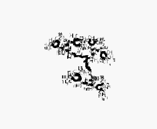 CCCCN(c1nc(NCCCCCC(CCCCNNc2nc(N(CCCC)C3CC(C)(C)NC(C)(C)C3)nc(N(CCCC)C3CC(C)(C)NC(C)(C)C3)n2)Nc2nc(N(CCCC)C3CC(C)(C)NC(C)(C)C3)nc(N(CCCC)C3CC(C)(C)NC(C)(C)C3)n2)nc(N(CCCC)C2CC(C)(C)NC(C)(C)C2)n1)C1CC(C)(C)NC(C)(C)C1